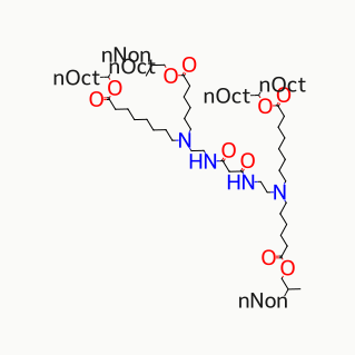 CCCCCCCCCC(C)COC(=O)CCCCCN(CCCCCCCC(=O)OC(CCCCCCCC)CCCCCCCC)CCNC(=O)CC(=O)NCCN(CCCCCCCC(=O)OC(CCCCCCCC)CCCCCCCC)CCCCCC(=O)OCC(C)CCCCCCCCC